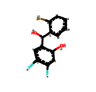 Oc1cc(F)c(F)cc1C(O)c1ccccc1Br